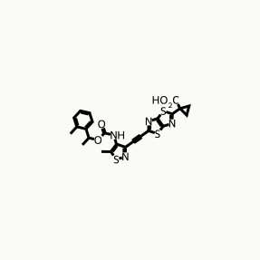 Cc1ccccc1C(C)OC(=O)Nc1c(C#Cc2nc3sc(C4(C(=O)O)CC4)nc3s2)nsc1C